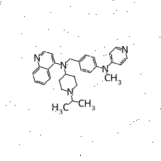 CC(C)N1CCC(N(Cc2ccc(N(C)c3ccncc3)cc2)c2ccnc3ccccc23)CC1